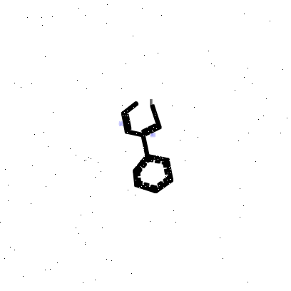 C/C=C\C(=C/I)c1ccccc1